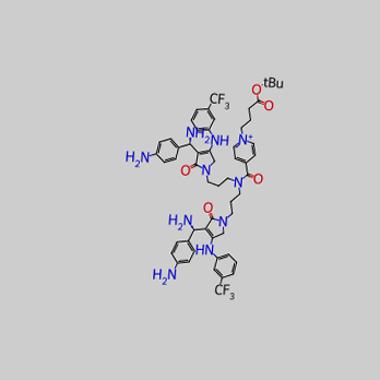 CC(C)(C)OC(=O)CCC[n+]1ccc(C(=O)N(CCCN2CC(Nc3cccc(C(F)(F)F)c3)=C([C@H](N)c3ccc(N)cc3)C2=O)CCCN2CC(Nc3cccc(C(F)(F)F)c3)=C([C@H](N)c3ccc(N)cc3)C2=O)cc1